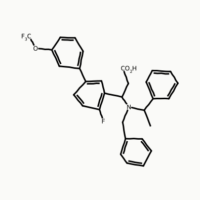 CC(c1ccccc1)N(Cc1ccccc1)C(CC(=O)O)c1cc(-c2cccc(OC(F)(F)F)c2)ccc1F